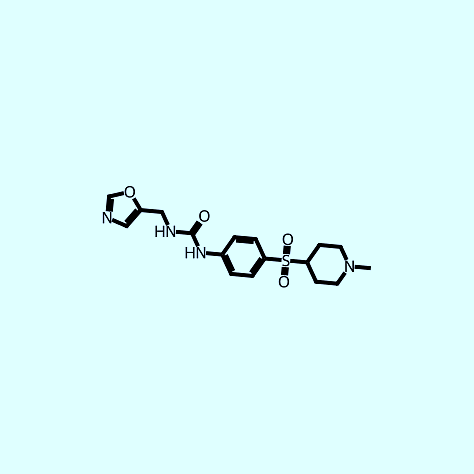 CN1CCC(S(=O)(=O)c2ccc(NC(=O)NCc3cnco3)cc2)CC1